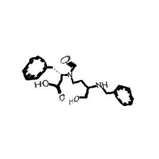 O=CN(CCC(CO)NCc1ccccc1)[C@@H](Cc1ccccc1)C(=O)O